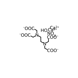 O=C([O-])CN(CCN(CC(=O)[O-])CC(=O)[O-])CC(=O)[O-].O=[N+]([O-])O.[Ca+2].[Ca+2]